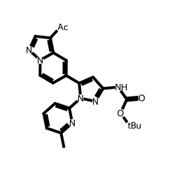 CC(=O)c1cnn2ccc(-c3cc(NC(=O)OC(C)(C)C)nn3-c3cccc(C)n3)cc12